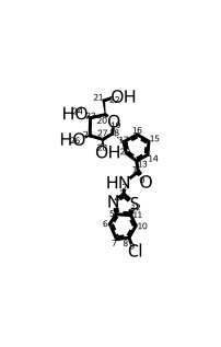 O=C(Nc1nc2ccc(Cl)cc2s1)c1cccc([C@H]2O[C@H](CO)[C@@H](O)[C@H](O)[C@@H]2O)c1